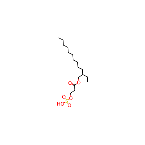 CCCCCCCCCCC(CC)COC(=O)CCOS(=O)(=O)O